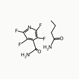 CCCC(N)=O.NC(=O)c1c(F)c(F)nc(F)c1F